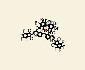 O=C1c2c(F)c(F)c(F)c(F)c2C(=O)C1c1ccc2c(N3C(=O)c4c(Br)c(Br)c(Br)c(Br)c4C3=O)c(Cc3ccc4nc(C5C(=O)c6c(F)c(F)c(F)c(F)c6C5=O)ccc4c3N3C(=O)c4c(Br)c(Br)c(Br)c(Br)c4C3=O)ccc2n1